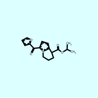 CC(C)OC(=O)C1CCCn2c(C(=O)c3ccco3)ccc21